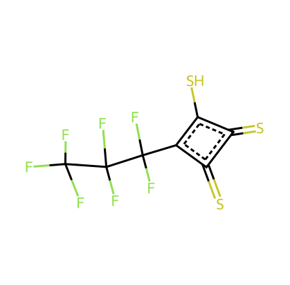 FC(F)(F)C(F)(F)C(F)(F)c1c(S)c(=S)c1=S